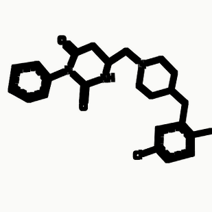 O=C1CC(CN2CCC(Cc3cc(Cl)ccc3Cl)CC2)NC(=O)N1c1ccccc1